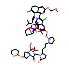 COCOc1cc(-c2ncc3c(N4CC5CCC(C4)N5C(=O)OC(C)(C)C)nc(OC[C@@H]4CCCN4CCCC4CCC(=O)N4[C@H](C(=O)N4C[C@H](OC5CCCCO5)C[C@H]4C(=O)OC)C(C)(C)C)nc3c2F)c2c(C#C[Si](C(C)C)(C(C)C)C(C)C)c(F)ccc2c1